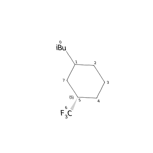 CCC(C)C1CCC[C@H](C(F)(F)F)C1